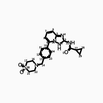 O=C(NC1N=C2C=CC=C(c3ccc(CN4CCS(=O)(=O)CC4)cc3)N2N1)C1CC1